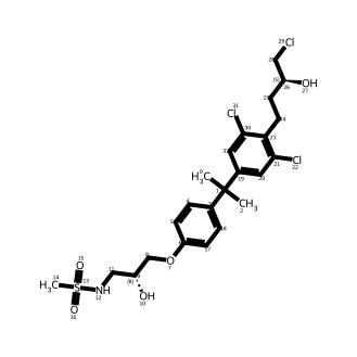 CC(C)(c1ccc(OC[C@H](O)CNS(C)(=O)=O)cc1)c1cc(Cl)c(CC[C@H](O)CCl)c(Cl)c1